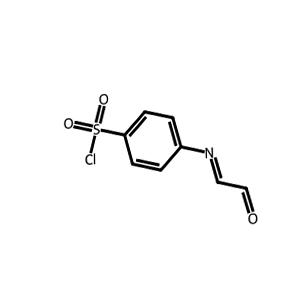 O=CC=Nc1ccc(S(=O)(=O)Cl)cc1